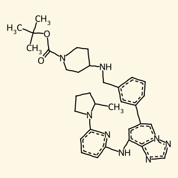 CC1CCCN1c1cccc(Nc2cc(-c3cccc(CNC4CCN(C(=O)OC(C)(C)C)CC4)c3)cn3ncnc23)n1